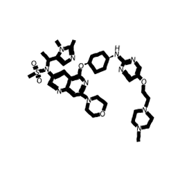 Cc1ncc(C(C)N(c2cnc3cc(N4CCOCC4)nc(O[C@H]4CC[C@@H](Nc5ncc(OCCN6CCN(C)CC6)cn5)CC4)c3c2)S(C)(=O)=O)n1C